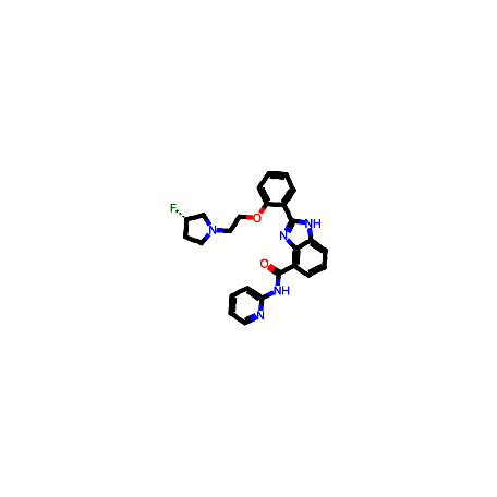 O=C(Nc1ccccn1)c1cccc2[nH]c(-c3ccccc3OCCN3CC[C@H](F)C3)nc12